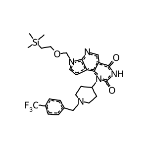 C[Si](C)(C)CCOCn1ccc2c1ncc1c(=O)[nH]c(=O)n(C3CCN(Cc4ccc(C(F)(F)F)cc4)CC3)c12